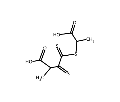 CC(SC(=S)C(=S)C(C)C(=O)O)C(=O)O